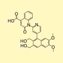 COc1cc2cc(CO)c(CO)c(-c3ccnc(-n4c(=O)cc(C(=O)O)c5ccccc54)c3)c2cc1OC